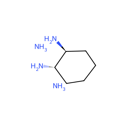 N.N.N[C@H]1CCCC[C@@H]1N